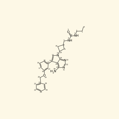 CCCNC(=O)NCC1CC(n2cc(-c3cccc(OCc4ccccc4)c3)c3c(N)ncnc32)C1